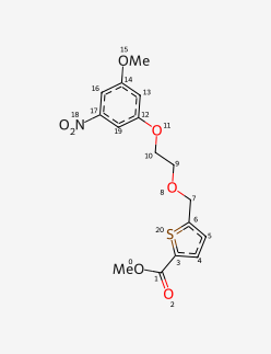 COC(=O)c1ccc(COCCOc2cc(OC)cc([N+](=O)[O-])c2)s1